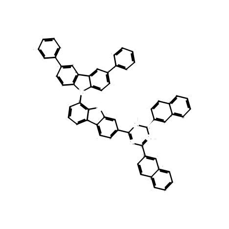 c1ccc(-c2ccc3c(c2)c2cc(-c4ccccc4)ccc2n3-c2cccc3c2oc2cc(C4=NC(c5ccc6ccccc6c5)=N[C@H](c5ccc6ccccc6c5)N4)ccc23)cc1